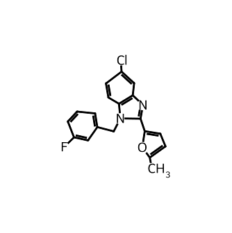 Cc1ccc(-c2nc3cc(Cl)ccc3n2Cc2cccc(F)c2)o1